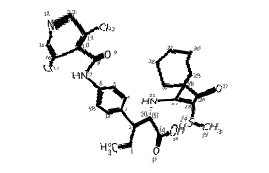 CCC(c1ccc(NC(=O)c2c(Cl)cncc2Cl)cc1)[C@H](NC1=C(SC)C(=O)C12CCCCC2)C(=O)O